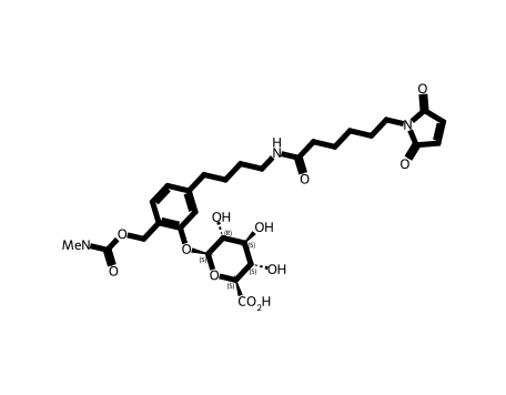 CNC(=O)OCc1ccc(CCCCNC(=O)CCCCCN2C(=O)C=CC2=O)cc1O[C@@H]1O[C@H](C(=O)O)[C@@H](O)[C@H](O)[C@H]1O